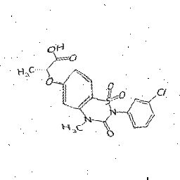 C[C@@H](Oc1ccc2c(c1)N(C)C(=O)N(c1cccc(Cl)c1)S2(=O)=O)C(=O)O